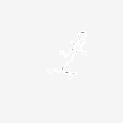 CNc1cc(OCc2cc(COP)cc([N+](=O)[O-])c2)c(OC)cc1C(=O)N1CCc2ccccc21